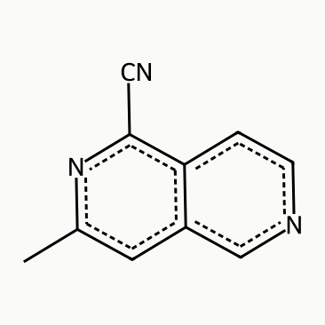 Cc1cc2cnccc2c(C#N)n1